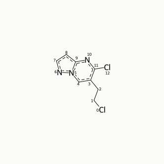 ClCCc1cn2nccc2nc1Cl